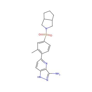 Cc1cc(S(=O)(=O)N2CC3CCCC3C2)ccc1-c1ccc2[nH]nc(N)c2n1